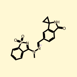 CN(/N=C/c1ccc2c(c1)C1(CC1)NC2=O)C1=NS(=O)(=O)c2ccccc21